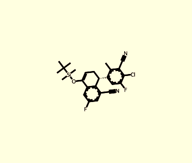 Cc1c([C@H]2CC=C(O[Si](C)(C)C(C)(C)C)c3cc(F)cc(C#N)c32)cc(F)c(Cl)c1C#N